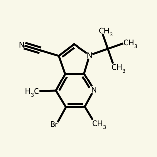 Cc1nc2c(c(C#N)cn2C(C)(C)C)c(C)c1Br